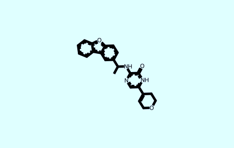 CC(Nc1ncc(C2=CCOCC2)[nH]c1=O)c1ccc2oc3ccccc3c2c1